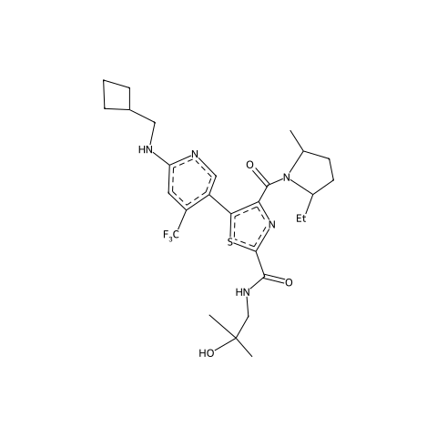 CCC1CCC(C)N1C(=O)c1nc(C(=O)NCC(C)(C)O)sc1-c1cnc(NCC2CCC2)cc1C(F)(F)F